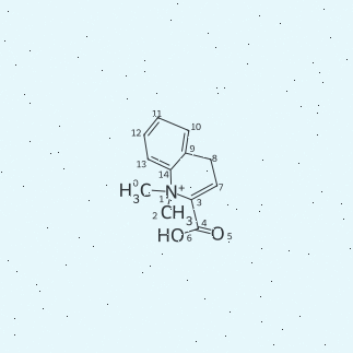 C[N+]1(C)C(C(=O)O)=CCc2ccccc21